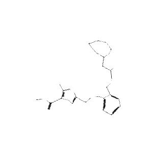 COC(=O)c1cc(COc2ccccc2CNC(C)CC2CCCCC2)oc1C